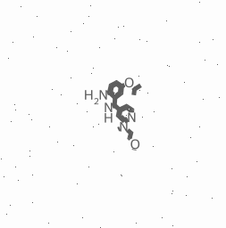 COCCN(C)c1cc(C(=N)c2cc(OC(C)C)ccc2N)ccn1